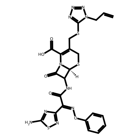 C=CCn1nnnc1SCC1=C(C(=O)O)N2C(=O)C(NC(=O)C(=NOc3ccccc3)c3nsc(N)n3)[C@@H]2SC1